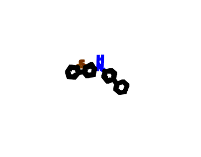 C1=C(c2ccc(Nc3ccc4c(c3)sc3ccccc34)cc2)CCCC1